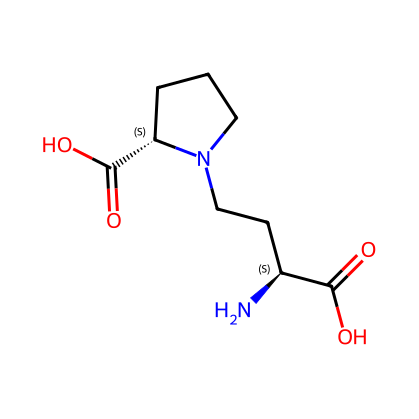 N[C@@H](CCN1CCC[C@H]1C(=O)O)C(=O)O